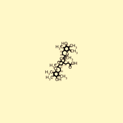 Cc1c(C)c2c(c(C)c1O)CCC(C)(CCC(CCC(=O)O)(CCC1(C)CCc3c(C)c(O)c(C)c(C)c3O1)C(=O)O)O2